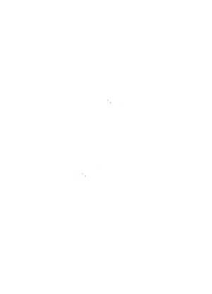 CCNC(=O)c1ccc(N)c(I)c1